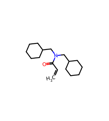 C=CC(=O)N(CC1CCCCC1)CC1CCCCC1